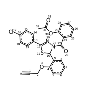 C#CCOc1ccccc1C1SC(c2ccc(Cl)cc2)=NN1C(=O)c1ccccc1OC(C)=O